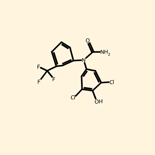 NC(=O)N(c1cccc(C(F)(F)F)c1)c1cc(Cl)c(O)c(Cl)c1